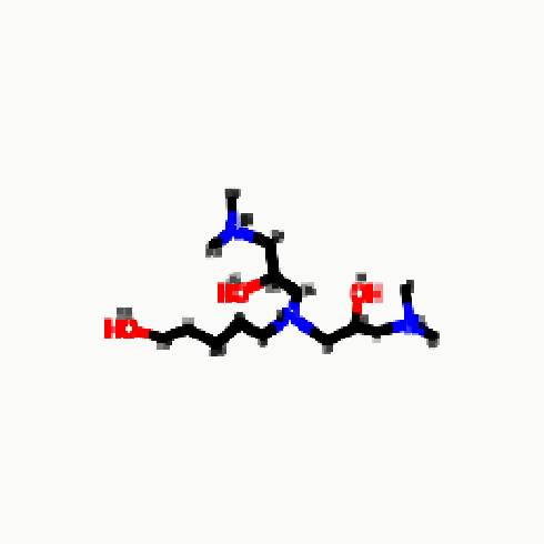 CN(C)CC(O)CN(CCCCCO)CC(O)CN(C)C